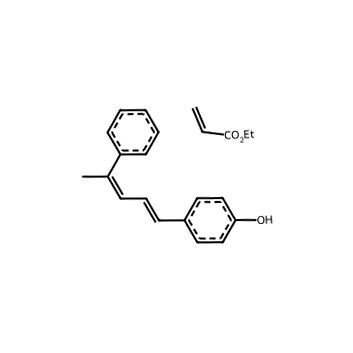 C=CC(=O)OCC.CC(=CC=Cc1ccc(O)cc1)c1ccccc1